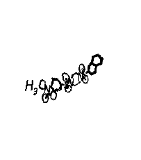 Cn1c(=O)oc2cc(S(=O)(=O)N3CCN(S(=O)(=O)c4ccc5ccccc5c4)CC3)ccc21